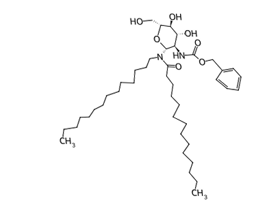 CCCCCCCCCCCCCCN(C(=O)CCCCCCCCCCCCC)[C@@H]1O[C@H](CO)[C@@H](O)[C@H](O)[C@H]1NC(=O)OCc1ccccc1